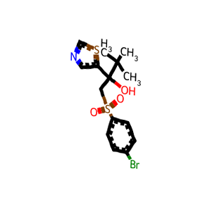 CC(C)(C)C(O)(CS(=O)(=O)c1ccc(Br)cc1)c1cncs1